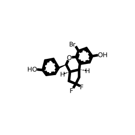 Oc1ccc([C@H]2Oc3c(Br)cc(O)cc3[C@H]3CC(F)(F)C[C@H]32)cc1